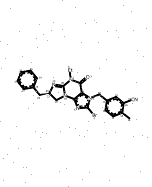 CCN1C(=O)c2c(nc(Br)n2Cc2ccc(C)c(C#N)c2)N2C[C@@H](Cc3ccccc3)N=C12